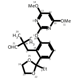 CCC1(c2cccc(Oc3nc(OC)cc(OC)n3)c2CC(C)(C)C=O)OCCO1